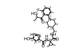 CC(O)C(=O)c1c(F)cccc1N1CCC(CNC(=O)C2(NC(=O)c3cc(O)[nH]n3)CC2)CC1